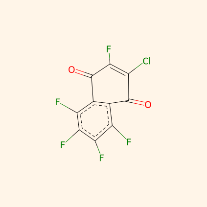 O=C1C(F)=C(Cl)C(=O)c2c(F)c(F)c(F)c(F)c21